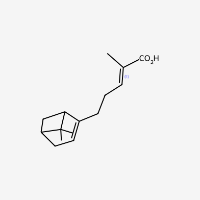 C/C(=C\CCC1=CCC2CC1C2(C)C)C(=O)O